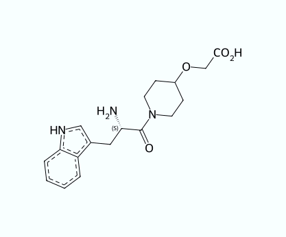 N[C@@H](Cc1c[nH]c2ccccc12)C(=O)N1CCC(OCC(=O)O)CC1